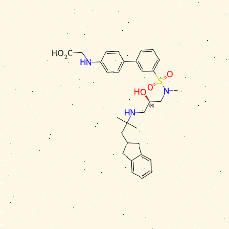 CN(C[C@H](O)CNC(C)(C)CC1Cc2ccccc2C1)S(=O)(=O)c1cccc(-c2ccc(NCC(=O)O)cc2)c1